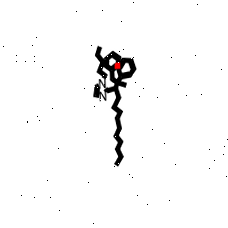 CCCCCCCCCCC(c1nccn1CCCCC)C(C)(Cc1ccccc1)c1ccccc1